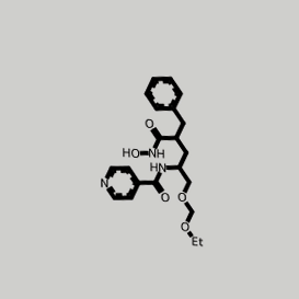 CCOCOCC(CC(Cc1ccccc1)C(=O)NO)NC(=O)c1ccncc1